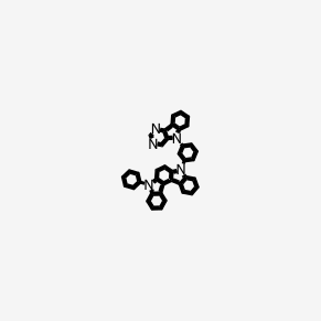 c1ccc(-n2c3ccccc3c3c4c5ccccc5n(-c5cccc(-n6c7ccccc7c7ncncc76)c5)c4ccc32)cc1